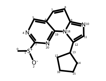 C[S+]([O-])c1ncc2ccc3ncc(C4CCCC4)n3c2n1